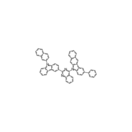 c1ccc(-c2ccc3c(c2)c2cc4ccccc4cc2n3-c2nc(-c3ccc4c(c3)c3ccccc3n4-c3ccc4ccccc4c3)nc3ccccc23)cc1